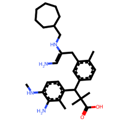 CNc1ccc(C(c2ccc(C)c(C/C(=C/N)NCC3CCCCCC3)c2)C(C)(C)C(=O)O)c(C)c1N